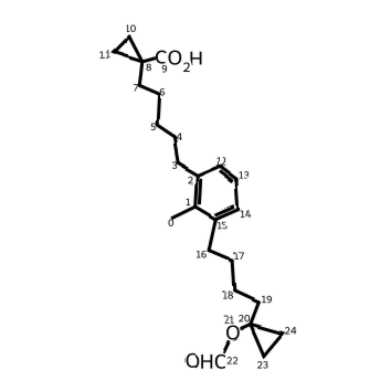 Cc1c(CCCCCC2(C(=O)O)CC2)cccc1CCCCC1(OC=O)CC1